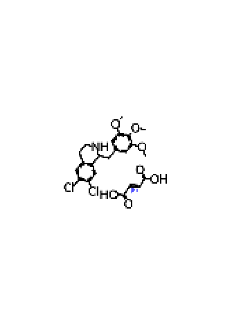 COc1cc(CC2NCCc3cc(Cl)c(Cl)cc32)cc(OC)c1OC.O=C(O)/C=C/C(=O)O